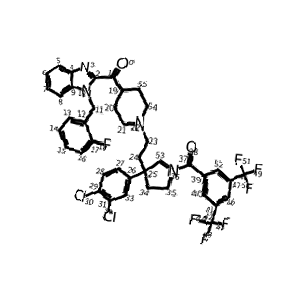 O=C(c1nc2ccccc2n1Cc1ccccc1F)C1CCN(CCC2(c3ccc(Cl)c(Cl)c3)CCN(C(=O)c3cc(C(F)(F)F)cc(C(F)(F)F)c3)C2)CC1